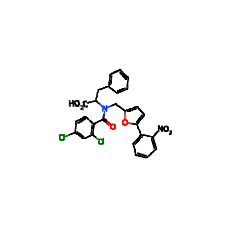 O=C(O)C(Cc1ccccc1)N(Cc1ccc(-c2ccccc2[N+](=O)[O-])o1)C(=O)c1ccc(Cl)cc1Cl